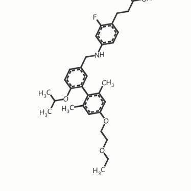 CCOCCOc1cc(C)c(-c2cc(CNc3ccc(CCC(=O)O)c(F)c3)ccc2OC(C)C)c(C)c1